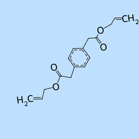 C=CCOC(=O)Cc1ccc(CC(=O)OCC=C)cc1